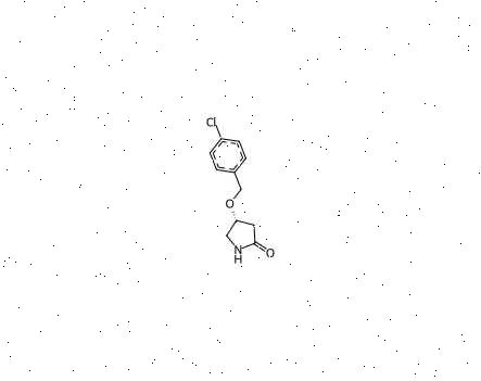 O=C1C[C@@H](OCc2ccc(Cl)cc2)CN1